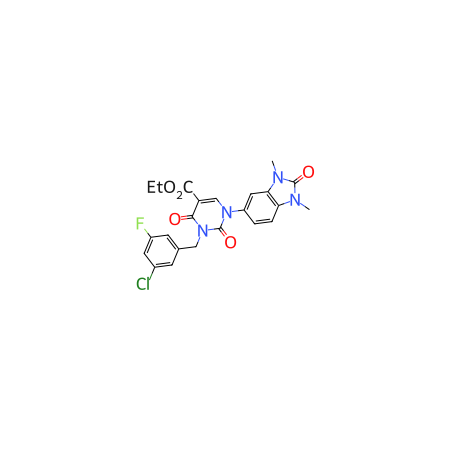 CCOC(=O)c1cn(-c2ccc3c(c2)n(C)c(=O)n3C)c(=O)n(Cc2cc(F)cc(Cl)c2)c1=O